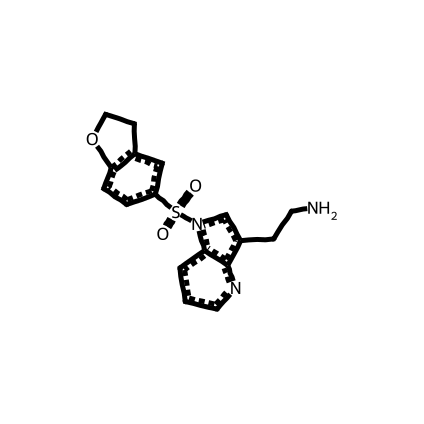 NCCc1cn(S(=O)(=O)c2ccc3c(c2)CCO3)c2cccnc12